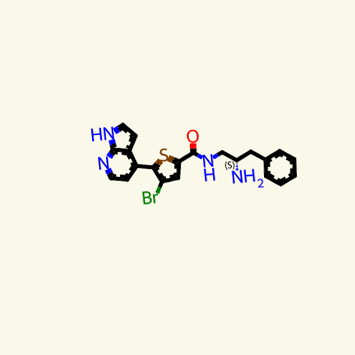 N[C@H](CNC(=O)c1cc(Br)c(-c2ccnc3[nH]ccc23)s1)Cc1ccccc1